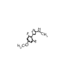 CNC1=NCC(c2c(F)cc(OC)cc2F)C1